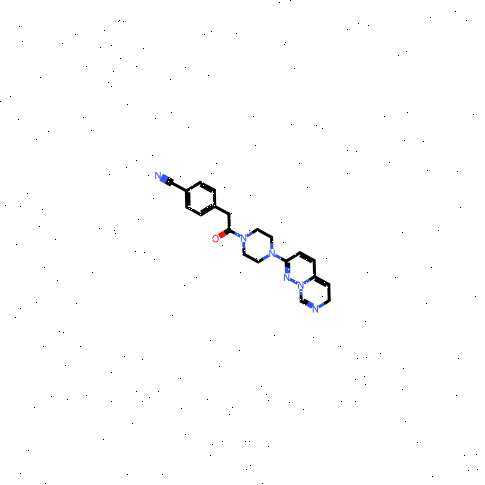 N#Cc1ccc(CC(=O)N2CCN(C3=NN4C=NCC=C4C=C3)CC2)cc1